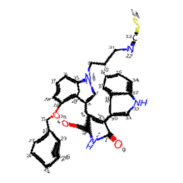 O=C1NC(=O)C(c2cn(CCCN=C=S)c3cccc(OCc4ccccc4)c23)=C1c1c[nH]c2ccccc12